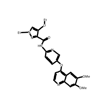 CCOc1cn(CC)nc1C(=O)Nc1ccc(Oc2ccnc3cc(OC)c(OC)cc23)cn1